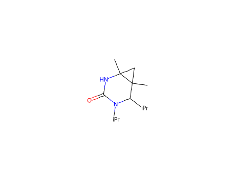 CC(C)C1N(C(C)C)C(=O)NC2(C)CC12C